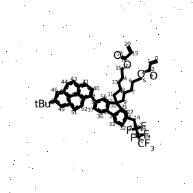 C=CC(=O)OCCCCCC1(CCCCCOC(=O)C=C)c2cc(CC(F)(F)C(F)(F)C(F)(F)F)ccc2-c2ccc(-c3ccc4ccc5cc(C(C)(C)C)cc6ccc3c4c56)cc21